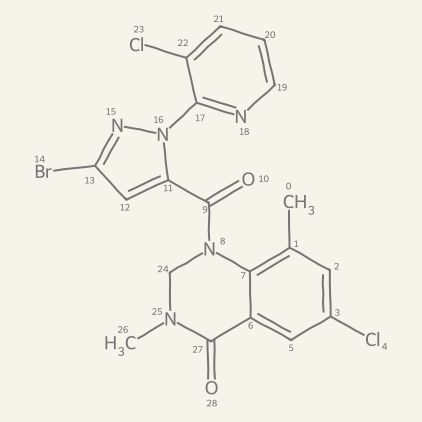 Cc1cc(Cl)cc2c1N(C(=O)c1cc(Br)nn1-c1ncccc1Cl)CN(C)C2=O